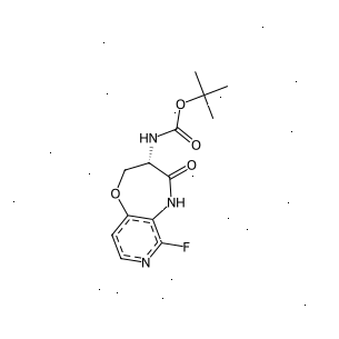 CC(C)(C)OC(=O)N[C@H]1COc2ccnc(F)c2NC1=O